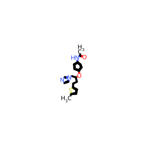 CC(=O)Nc1ccc(OC(CCc2ccc(C)s2)Cn2ccnc2)cc1